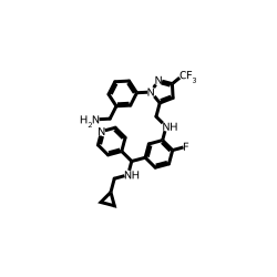 NCc1cccc(-n2nc(C(F)(F)F)cc2CNc2cc(C(NCC3CC3)c3ccncc3)ccc2F)c1